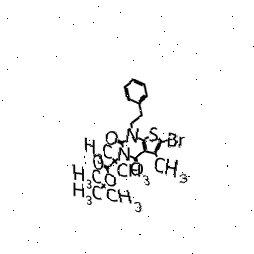 Cc1c(Br)sc2c1c(=O)n(C(C)(C)C(=O)OC(C)(C)C)c(=O)n2CCc1ccccc1